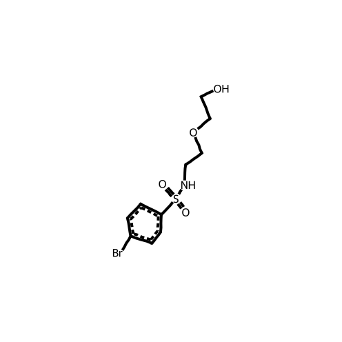 O=S(=O)(NCCOCCO)c1ccc(Br)cc1